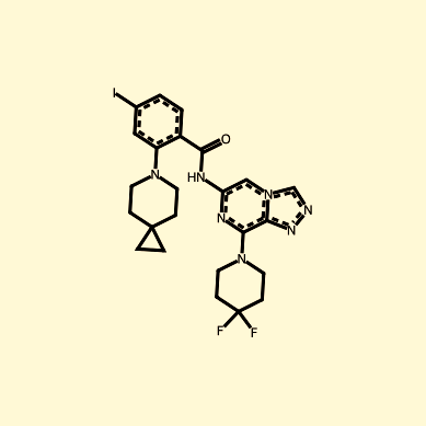 O=C(Nc1cn2cnnc2c(N2CCC(F)(F)CC2)n1)c1ccc(I)cc1N1CCC2(CC1)CC2